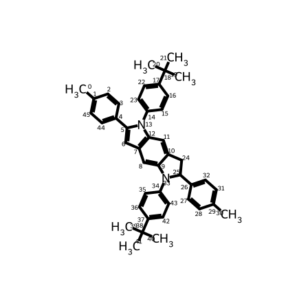 Cc1ccc(-c2cc3cc4c(cc3n2-c2ccc(C(C)(C)C)cc2)CC(c2ccc(C)cc2)N4c2ccc(C(C)(C)C)cc2)cc1